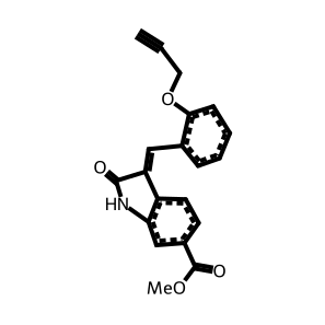 C#CCOc1ccccc1/C=C1/C(=O)Nc2cc(C(=O)OC)ccc21